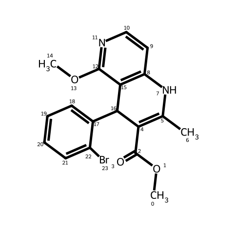 COC(=O)C1=C(C)Nc2ccnc(OC)c2C1c1ccccc1Br